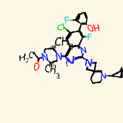 C=CC(=O)N1C[C@H](C)N(c2nc(N3CC4(CCCN(C5CC5)C4)C3)nc3c(F)c(-c4c(O)cccc4F)c(Cl)cc23)C[C@H]1C